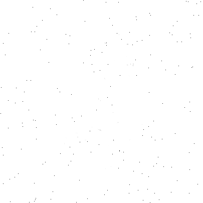 C=C1C2OC(OC)C3C1CC(NCCc1c[nH]c4ccccc14)CC3(OC(C)=O)O2